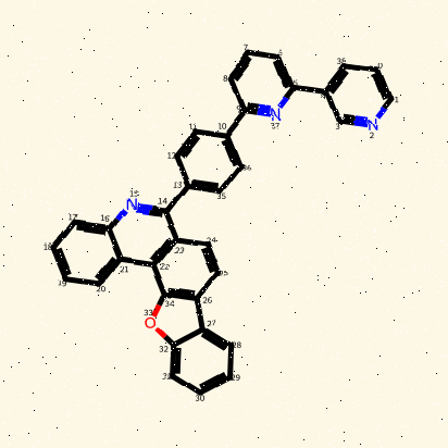 c1cncc(-c2cccc(-c3ccc(-c4nc5ccccc5c5c4ccc4c6ccccc6oc45)cc3)n2)c1